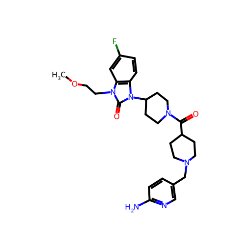 COCCn1c(=O)n(C2CCN(C(=O)C3CCN(Cc4ccc(N)nc4)CC3)CC2)c2ccc(F)cc21